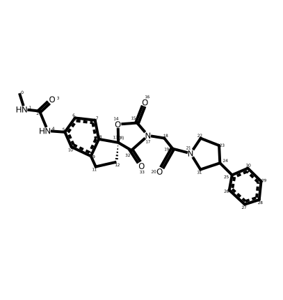 CNC(=O)Nc1ccc2c(c1)CC[C@@]21OC(=O)N(CC(=O)N2CCC(c3ccccc3)C2)C1=O